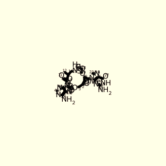 COC1C2COP(=O)(O)OC3C4OCC3(CNS(=O)(=O)OC1C(n1cnc3c(=O)[nH]c(N)nc31)O2)OC4n1cnc2c(N)ncnc21